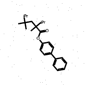 CC(C)C(C)(C)CC(C)(C(=O)Oc1ccc(-c2ccccc2)cc1)C(C)C